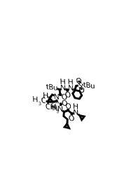 CC(C)(C)C(NC(=O)NC1(CS(=O)(=O)C(C)(C)C)CCCCC1)C(=O)N1C[C@H]2[C@@H]([C@H]1C(=O)NC(CCC1CC1)C(=O)C(=O)NC1CC1)C2(C)C